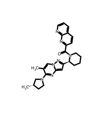 Cc1cn2nc([C@@H]3CCCCN3C(=O)c3ccc4cccnc4n3)cc2nc1N1CC[C@H](C)C1